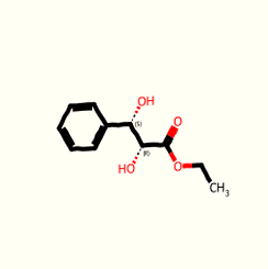 CCOC(=O)[C@H](O)[C@@H](O)c1ccccc1